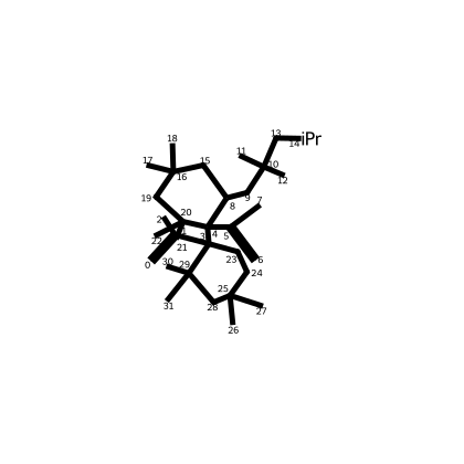 C=C(C)C1(C2(C(=C)C)C(CC(C)(C)CC(C)C)CC(C)(C)CC2(C)C)CCC(C)(C)CC1(C)C